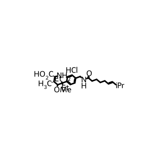 CCC(CC)(c1ccc(CNC(=O)CCCCC=CC(C)C)cc1)C(OC)[C@H](C)[C@H](N)C(=O)O.Cl